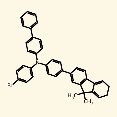 CC1(C)C2=CCCC=C2c2ccc(-c3ccc(N(c4ccc(Br)cc4)c4ccc(-c5ccccc5)cc4)cc3)cc21